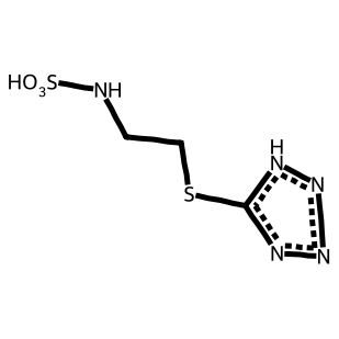 O=S(=O)(O)NCCSc1nnn[nH]1